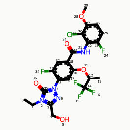 CCn1c(CO)nn(-c2cc(O[C@@H](C)C(F)(F)F)c(C(=O)Nc3c(F)ccc(OC)c3Cl)cc2F)c1=O